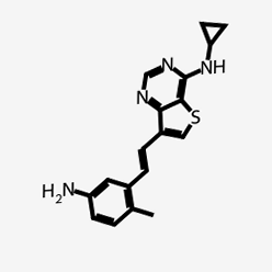 Cc1ccc(N)cc1C=Cc1csc2c(NC3CC3)ncnc12